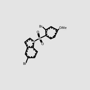 COc1ccc(S(=O)(=O)n2ccc3cc(Br)ccc32)c(Br)c1